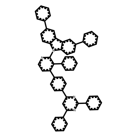 c1ccc(-c2ccc3c(c2)c2cc(-c4ccccc4)ccc2n3-c2nccc(-c3ccc(-c4cc(-c5ccccc5)nc(-c5ccccc5)n4)cc3)c2-c2ccccc2)cc1